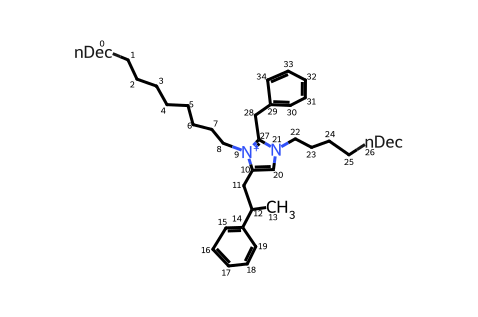 CCCCCCCCCCCCCCCCCC[n+]1c(CC(C)c2ccccc2)cn(CCCCCCCCCCCCCC)c1Cc1ccccc1